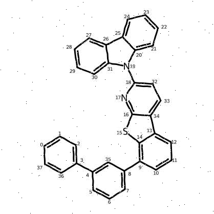 c1ccc(-c2cccc(-c3cccc4c3sc3nc(-n5c6ccccc6c6ccccc65)ccc34)c2)cc1